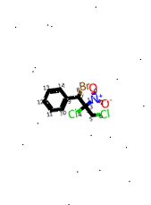 O=[N+]([O-])C(Cl)(CCl)C(Br)c1ccccc1